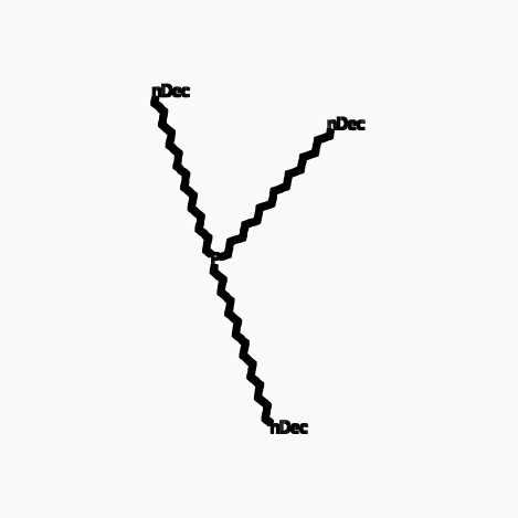 CCCCCCCCCCCCCCCCCCCCCCCCCP(CCCCCCCCCCCCCCCCCCCCCCCCC)CCCCCCCCCCCCCCCCCCCCCCCCC